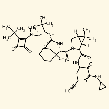 C#CCCC(NC(=O)[C@@H]1[C@@H]2[C@H](CN1C(=O)[C@@H](NC(=O)N[C@H](CN(C)c1c(C(C)(C)C)c(=O)c1=O)C(C)(C)C)C1(C)CCCCC1)C2(C)C)C(=O)C(=O)NC1CC1